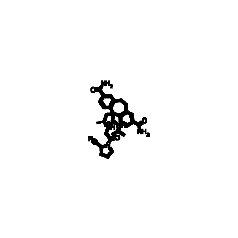 CC(C)NC(=N)C1(C[C@H](C)NCC(=O)N2CCCC2C#N)c2ccc(C(N)=O)cc2CCc2cc(C(N)=O)ccc21